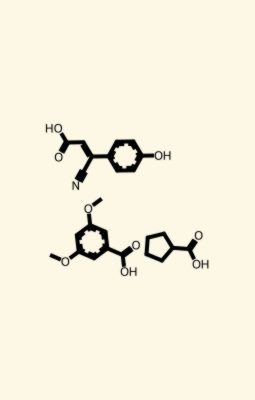 COc1cc(OC)cc(C(=O)O)c1.N#CC(=CC(=O)O)c1ccc(O)cc1.O=C(O)C1CCCC1